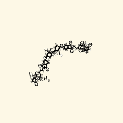 CC(CCN1C(=O)c2ccc(Oc3ccc(C(C)(C)c4ccc(Oc5ccc6c(c5)C(=O)N(CCC(C)CC(C)(C)CN5C(=O)C=CC5=O)C6=O)cc4)cc3)cc2C1=O)CC(C)(C)CN1C(=O)C=CC1=O